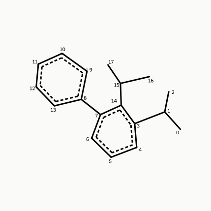 CC(C)c1cccc(-c2[c]cccc2)c1C(C)C